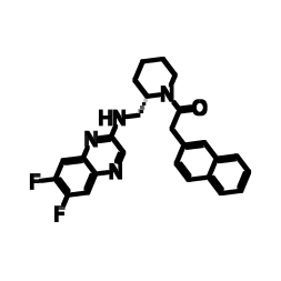 O=C(Cc1ccc2ccccc2c1)N1CCCC[C@H]1CNc1cnc2cc(F)c(F)cc2n1